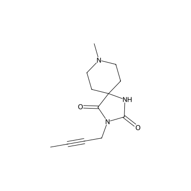 CC#CCN1C(=O)NC2(CCN(C)CC2)C1=O